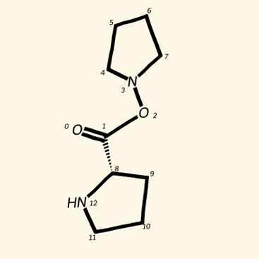 O=C(ON1CCCC1)[C@@H]1CCCN1